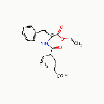 C=COC(=O)[C@H](Cc1ccccc1)NC(=O)C(C=C)CCC(=O)O